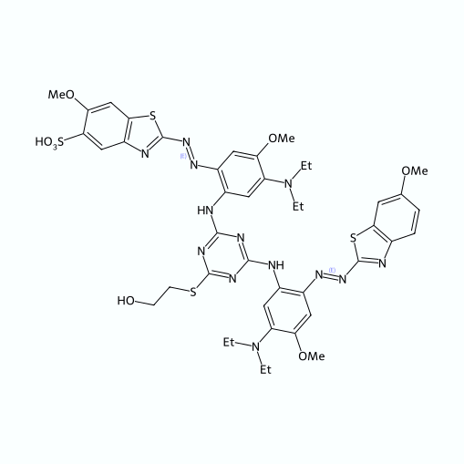 CCN(CC)c1cc(Nc2nc(Nc3cc(N(CC)CC)c(OC)cc3/N=N/c3nc4cc(S(=O)(=O)O)c(OC)cc4s3)nc(SCCO)n2)c(/N=N/c2nc3ccc(OC)cc3s2)cc1OC